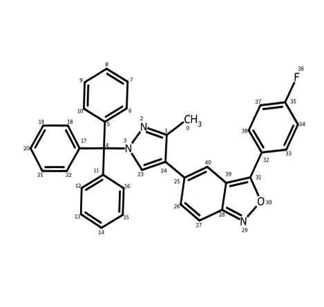 Cc1nn(C(c2ccccc2)(c2ccccc2)c2ccccc2)cc1-c1ccc2noc(-c3ccc(F)cc3)c2c1